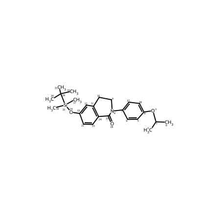 CC(C)Oc1ccc(N2CCc3cc(O[Si](C)(C)C(C)(C)C)ccc3C2=O)cc1